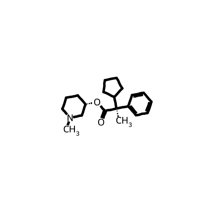 CN1CCC[C@H](OC(=O)[C@](C)(c2ccccc2)C2CCCC2)C1